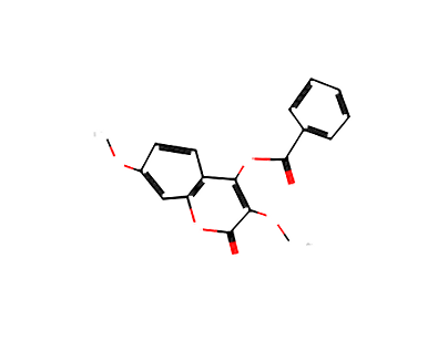 CCCCCCCCCCOc1c(OC(=O)c2ccccc2)c2ccc(OC(C)C)cc2oc1=O